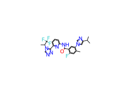 Cc1cc(F)c(C(=O)Nc2cccc(-c3nncn3C(C)C(F)(F)F)n2)cc1-n1cnc(C(C)C)c1